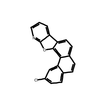 Clc1ccc2ccc3ccc4c5cccnc5oc4c3c2c1